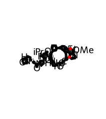 CCn1c(-c2cccnc2[C@H](C)OC)c2c3cc(ccc31)-c1cccc(c1)C[C@H](NC(=O)C(C(C)C)N(C)C(=O)[C@H]1CCN(C(=O)C#C[C@H]3CC[C@@H]4COCCN43)C1)C(=O)N1CCC[C@H](N1)C(=O)OCC(C)(C)C2